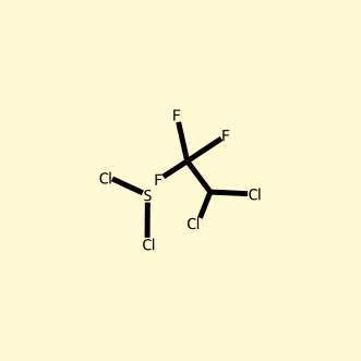 ClSCl.FC(F)(F)C(Cl)Cl